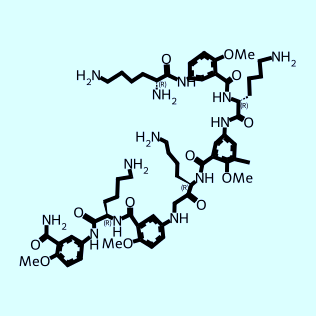 COc1ccc(NC(=O)[C@@H](CCCCN)NC(=O)c2cc(NCC(=O)[C@@H](CCCCN)NC(=O)c3cc(NC(=O)[C@@H](CCCCN)NC(=O)c4cc(NC(=O)[C@H](N)CCCCN)ccc4OC)cc(C)c3OC)ccc2OC)cc1C(N)=O